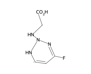 O=C(O)CNN1N=C(F)C=[C]N1